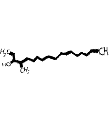 C=CC(O)C(C)CCCCCCCCCCCCCC